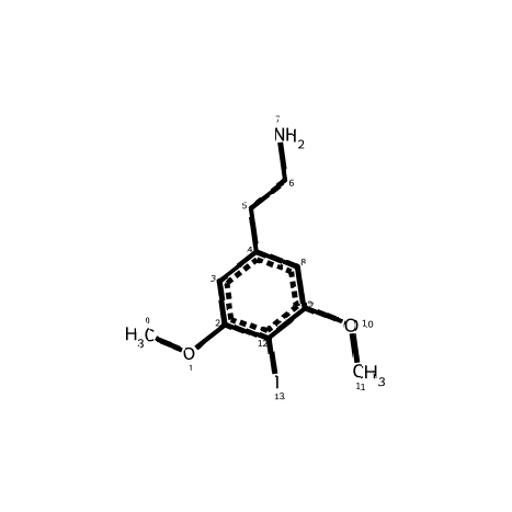 COc1cc(CCN)cc(OC)c1I